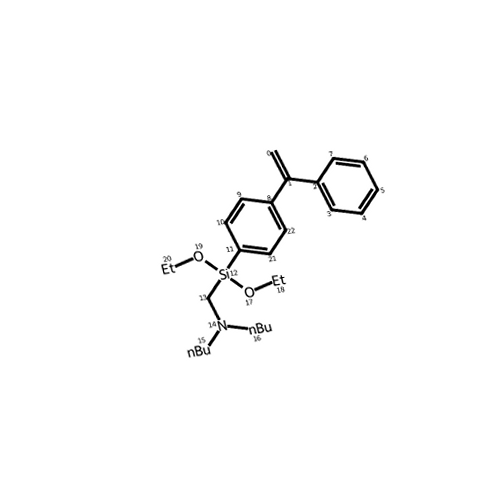 C=C(c1ccccc1)c1ccc([Si](CN(CCCC)CCCC)(OCC)OCC)cc1